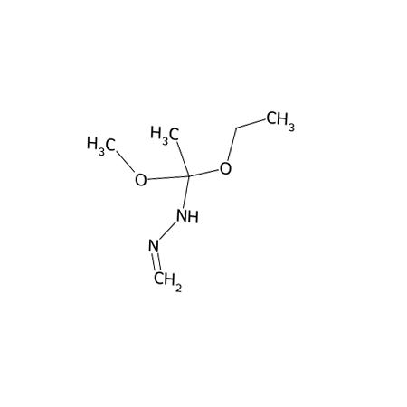 C=NNC(C)(OC)OCC